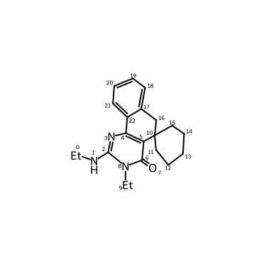 CCNc1nc2c(c(=O)n1CC)C1(CCCCC1)Cc1ccccc1-2